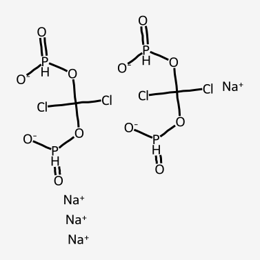 O=[PH]([O-])OC(Cl)(Cl)O[PH](=O)[O-].O=[PH]([O-])OC(Cl)(Cl)O[PH](=O)[O-].[Na+].[Na+].[Na+].[Na+]